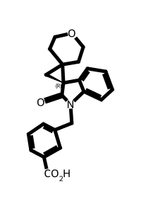 O=C(O)c1cccc(CN2C(=O)[C@@]3(CC34CCOCC4)c3ccccc32)c1